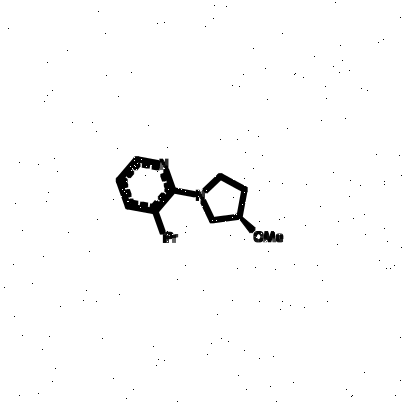 CO[C@@H]1CCN(c2ncccc2C(C)C)C1